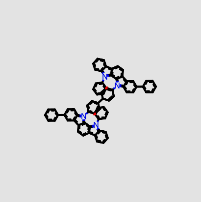 C1=CC(c2ccc(-n3c4ccc(-c5ccccc5)cc4c4ccc5c6ccccc6n(-c6ccccc6)c5c43)cc2)CC=C1n1c2ccc(-c3ccccc3)cc2c2ccc3c4ccccc4n(-c4ccccc4)c3c21